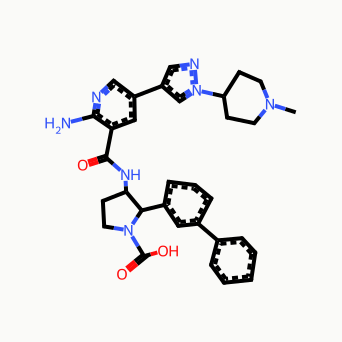 CN1CCC(n2cc(-c3cnc(N)c(C(=O)NC4CCN(C(=O)O)C4c4cccc(-c5ccccc5)c4)c3)cn2)CC1